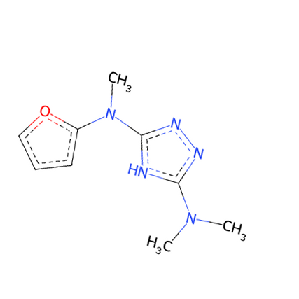 CN(C)c1nnc(N(C)c2ccco2)[nH]1